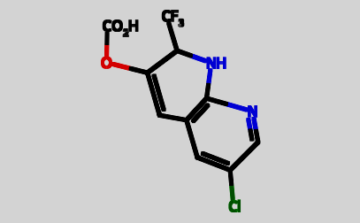 O=C(O)OC1=Cc2cc(Cl)cnc2NC1C(F)(F)F